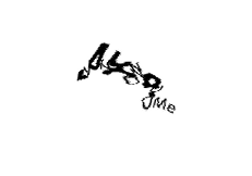 COCCOc1ccc(-n2ncc3c(C)n(-c4cccc(N5CCC5)c4)c(C)c3c2=O)cc1